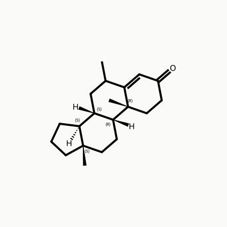 CC1C[C@@H]2[C@@H](CC[C@]3(C)CCC[C@@H]23)[C@@]2(C)CCC(=O)C=C12